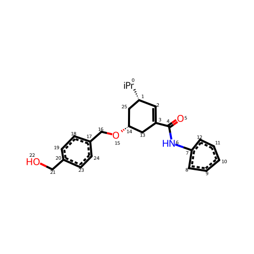 CC(C)[C@@H]1C=C(C(=O)Nc2ccccc2)C[C@H](OCc2ccc(CO)cc2)C1